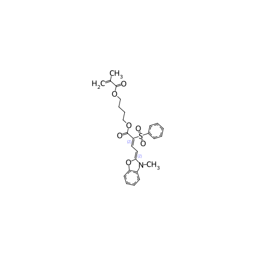 C=C(C)C(=O)OCCCCOC(=O)/C(=C/C=C1\Oc2ccccc2N1C)S(=O)(=O)c1ccccc1